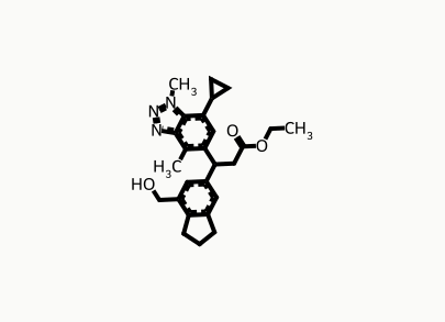 CCOC(=O)CC(c1cc(CO)c2c(c1)CCC2)c1cc(C2CC2)c2c(nnn2C)c1C